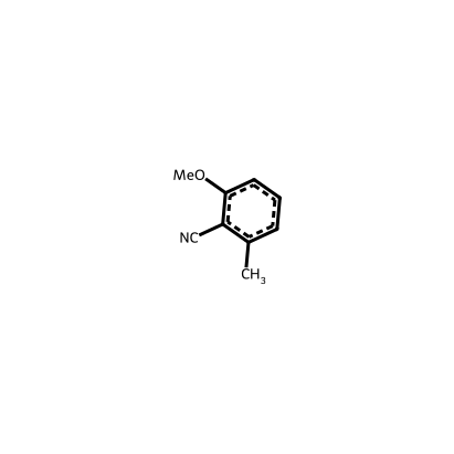 COc1cccc(C)c1C#N